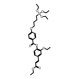 CCOC(=O)C=Cc1ccc(OC(=O)c2ccc(OCCCC[Si](OCC)(OCC)OCC)cc2)c(OCC)c1